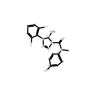 CN(C(=O)N1N=NN(c2c(F)cccc2F)[C@H]1O)c1ccc(F)cc1